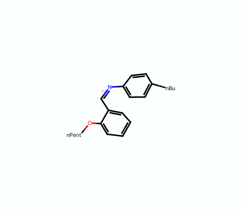 CCCCCOc1ccccc1/C=N\c1ccc(CCCC)cc1